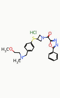 COCCN(C)Cc1ccc(SC2CN(C(=O)c3nnc(-c4ccccc4)o3)C2)cc1.Cl